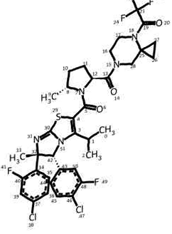 CC(C)C1=C(C(=O)N2[C@H](C)CC[C@H]2C(=O)N2CCN(C(=O)C(F)(F)F)C3(CC3)C2)SC2=N[C@@](C)(c3ccc(Cl)cc3F)[C@@H](c3ccc(Cl)c(F)c3)N21